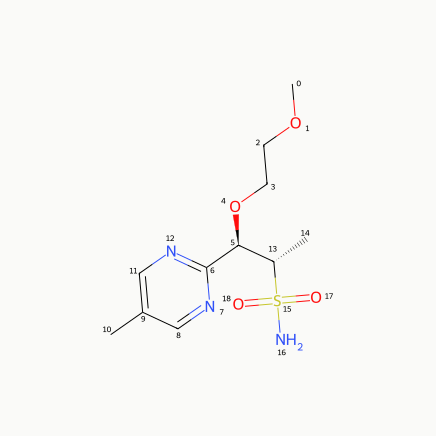 COCCO[C@H](c1ncc(C)cn1)[C@H](C)S(N)(=O)=O